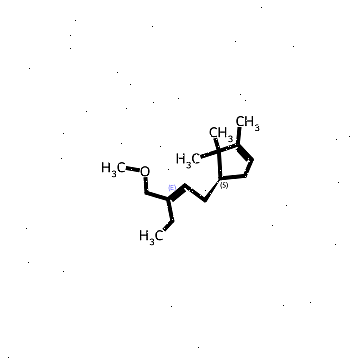 CC/C(=C\C[C@@H]1CC=C(C)C1(C)C)COC